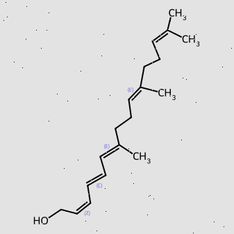 CC(C)=CCC/C(C)=C/CC/C(C)=C/C=C/C=C\CO